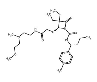 CCC[C@@H](NC(=O)N1C(=O)C(CC)(CC)[C@@H]1OCC(=O)NCCN(C)CCOC)c1ccc(C)cc1